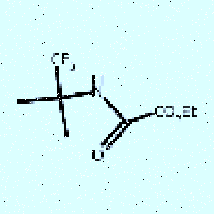 CCOC(=O)C(=O)NC(C)(C)C(F)(F)F